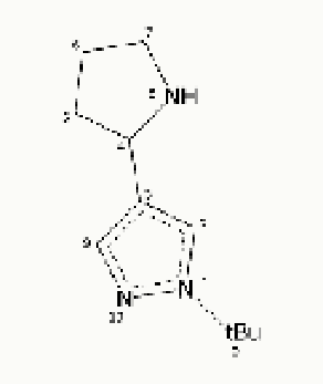 CC(C)(C)n1cc(C2CCCN2)cn1